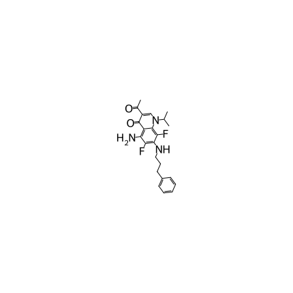 CC(=O)c1cn(C(C)C)c2c(F)c(NCCCc3ccccc3)c(F)c(N)c2c1=O